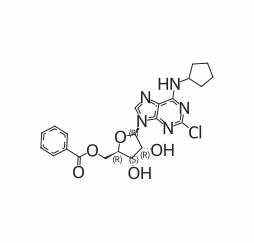 O=C(OC[C@H]1O[C@@H](n2cnc3c(NC4CCCC4)nc(Cl)nc32)[C@H](O)[C@@H]1O)c1ccccc1